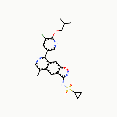 Cc1cnc(-c2cnc(OCC(C)C)c(Cl)c2)c2cc3onc(NS(=O)(=O)C4CC4)c3cc12